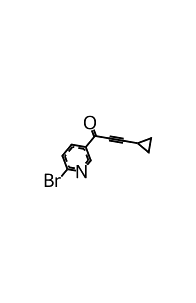 O=C(C#CC1CC1)c1ccc(Br)nc1